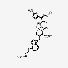 CCO/N=C(\C(=O)N[C@@H]1C(=O)N2C(C(=O)[O-])=C(Cn3cc[n+]4c(SCCNC=O)cccc34)CS[C@@H]12)c1csc(N)n1